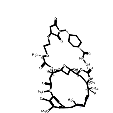 COc1cc2cc(c1Cl)N(C)C(=O)C[C@H](OC(=O)[C@H](C)OCCSC1CC(=O)N(C[C@H]3CC[C@H](C(=O)NNI)CC3)C1=O)[C@@]1(C)CC(C)(O1)[C@@H]1C[C@@](O)(NC(=O)O1)[C@H](OC)/C=C/C=C(\C)C2